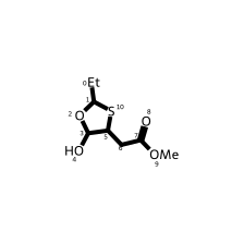 CCC1OC(O)C(CC(=O)OC)S1